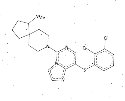 CNC1CCCC12CCN(c1ncc(Sc3cccc(Cl)c3Cl)c3nccn13)CC2